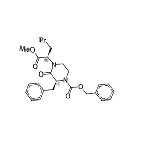 COC(=O)[C@@H](CC(C)C)N1CCN(C(=O)OCc2ccccc2)[C@@H](Cc2ccccc2)C1=O